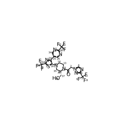 O=C(Cn1cnc(C(F)(F)F)n1)N1CCN(c2sc(C(F)(F)F)nc2-c2cnc(C(F)(F)F)nc2)C[C@H]1CO